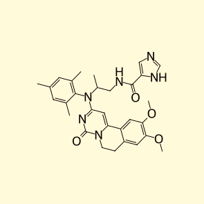 COc1cc2c(cc1OC)-c1cc(N(c3c(C)cc(C)cc3C)C(C)CNC(=O)c3cnc[nH]3)nc(=O)n1CC2